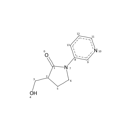 O=C1C(CO)CCN1c1[c]nccc1